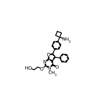 Cn1c(OCCO)nc2oc(-c3ccc(C4(N)CCC4)cc3)c(-c3ccccc3)c2c1=O